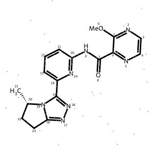 COc1nccnc1C(=O)Nc1cccc(-c2nnc3n2[C@@H](C)CC3)n1